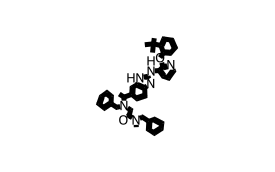 CC(c1ccc2nc(Nc3cccnc3Oc3ccccc3C(C)(C)C)[nH]c2c1)N(CC(=O)N(C)Cc1ccccc1)Cc1ccccc1